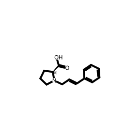 O=C(O)[C@@H]1CCCN1CC=Cc1ccccc1